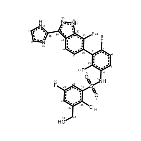 O=S(=O)(Nc1ccc(F)c(-c2ccc3c(-c4ncc[nH]4)n[nH]c3c2F)c1F)c1cc(F)cc(CO)c1Cl